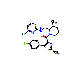 Cc1nc(C(=O)N2CCCC(C)C2CNc2nccc(Cl)n2)c(-c2ccc(F)cc2)s1